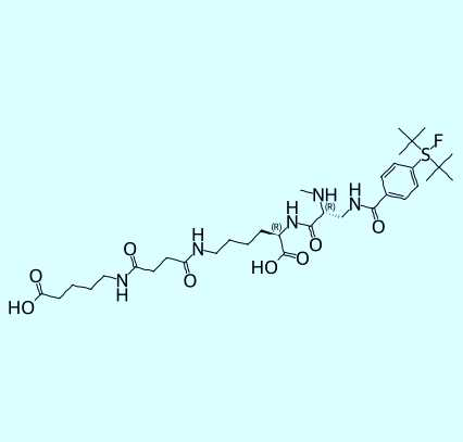 CN[C@H](CNC(=O)c1ccc(S(F)(C(C)(C)C)C(C)(C)C)cc1)C(=O)N[C@H](CCCCNC(=O)CCC(=O)NCCCCC(=O)O)C(=O)O